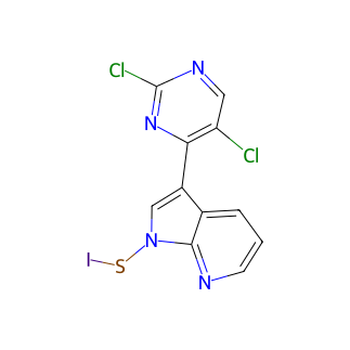 Clc1ncc(Cl)c(-c2cn(SI)c3ncccc23)n1